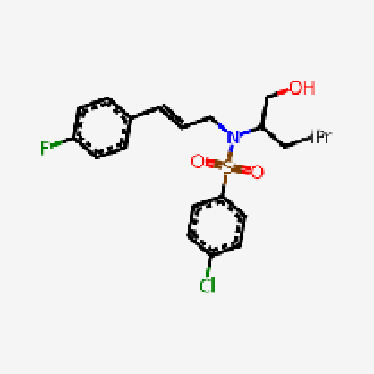 CC(C)CC(CO)N(C/C=C/c1ccc(F)cc1)S(=O)(=O)c1ccc(Cl)cc1